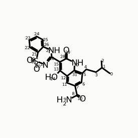 CC(C)CCc1cc(C(N)=O)cc2c(O)c(C3=NS(=O)(=O)c4ccccc4N3)c(=O)[nH]c12